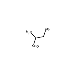 [CH2]CCCC(N)[C]=O